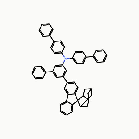 c1ccc(-c2ccc(N(c3ccc(-c4ccccc4)cc3)c3cc(-c4ccccc4)cc(-c4ccc5c(c4)-c4ccccc4C54C5CC6CC(C5)C4C6)c3)cc2)cc1